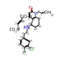 C=CCn1c2c(ccc1=O)C(NCCc1ccc(Cl)c(Cl)c1)CCC2.O=C(O)C=CC(=O)O